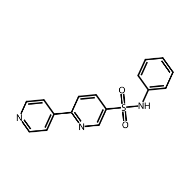 O=S(=O)(Nc1ccccc1)c1ccc(-c2ccncc2)nc1